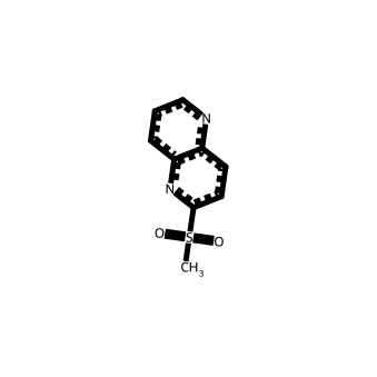 CS(=O)(=O)c1ccc2ncccc2n1